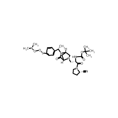 C[C@@H](c1ccc(SOON(C)C)cc1)N1C(=O)[C@@H]2C[C@H]1CN2C[C@H](NC(=O)OC(C)(C)C)C(=O)N1CCC[C@H]1C#N